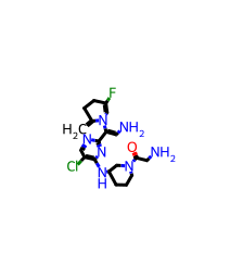 C=C1CCC(F)=CN1/C(=C\N)c1ncc(Cl)c(NC2CCCN(C(=O)CN)C2)n1